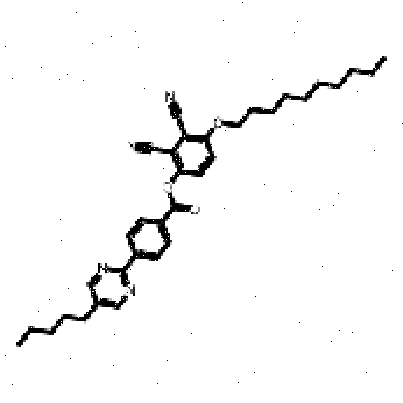 CCCCCCCCCCOc1ccc(OC(=O)c2ccc(-c3ncc(CCCCC)cn3)cc2)c(C#N)c1C#N